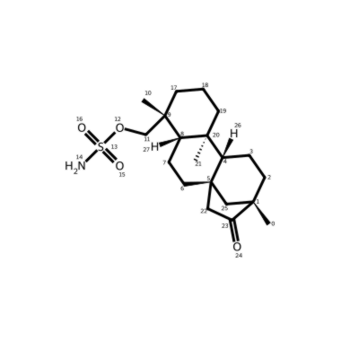 C[C@@]12CC[C@@H]3[C@@](CC[C@@H]4[C@](C)(COS(N)(=O)=O)CCC[C@]43C)(CC1=O)C2